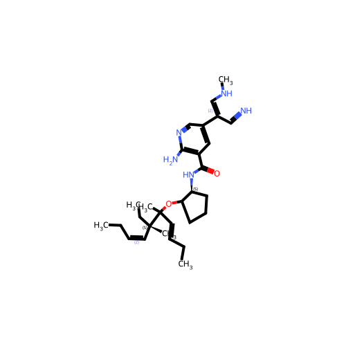 CCC=CC(C)(OC1CCC[C@@H]1NC(=O)c1cc(/C(C=N)=C/NC)cnc1N)[C@](C)(/C=C\CC)CC